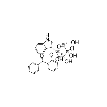 O=C(c1ccccc1)c1ccccc1O[C@]1(c2c[nH]c3ccccc23)O[C@H](CO)[C@@](O)(Cl)[C@H](O)[C@H]1O